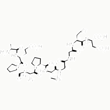 CC(C)C[C@H](NC(=O)CNC(=O)[C@H](C)NC(=O)[C@H](CC(C)C)NC(=O)[C@@H]1CCCN1C(=O)[C@@H](NC(=O)[C@@H]1CCCN1C(=O)[C@H](CCC(=O)O)NC(=O)[C@H](C)N)C(C)C)C(=O)N[C@@H](CC(=O)O)C(=O)O